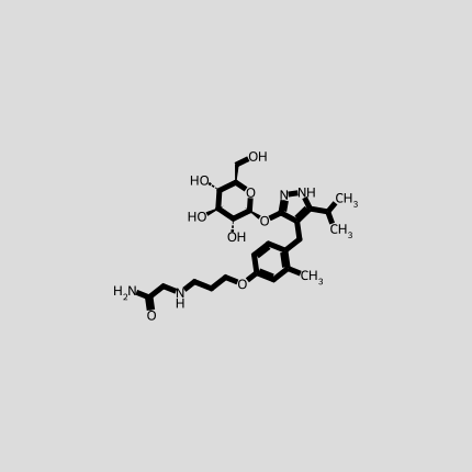 Cc1cc(OCCCNCC(N)=O)ccc1Cc1c(O[C@@H]2O[C@H](CO)[C@@H](O)[C@H](O)[C@H]2O)n[nH]c1C(C)C